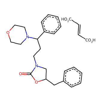 O=C(O)C=CC(=O)O.O=C1OC(Cc2ccccc2)CN1CCC(c1ccccc1)N1CCOCC1